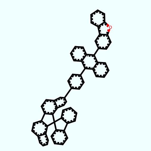 c1ccc2c(c1)-c1ccccc1C21c2c(ccc3ccccc23)-c2ccc3cc(-c4ccc(-c5c6ccccc6c(-c6ccc7oc8ccccc8c7c6)c6ccccc56)cc4)ccc3c21